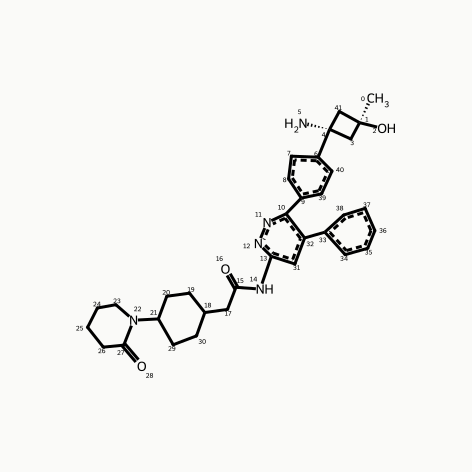 C[C@]1(O)C[C@@](N)(c2ccc(-c3nnc(NC(=O)CC4CCC(N5CCCCC5=O)CC4)cc3-c3ccccc3)cc2)C1